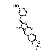 CC1(C)Oc2ccc(CN3C(=O)/C(=C/c4cccc(O)c4)SC3=S)cc2O1